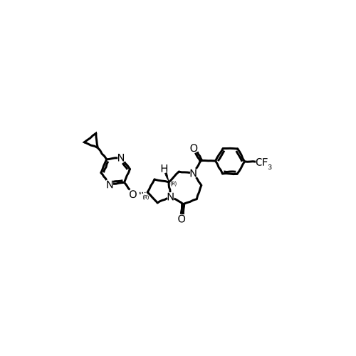 O=C(c1ccc(C(F)(F)F)cc1)N1CCC(=O)N2C[C@H](Oc3cnc(C4CC4)cn3)C[C@@H]2C1